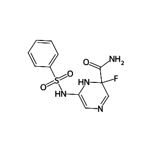 NC(=O)C1(F)C=NC=C(NS(=O)(=O)c2ccccc2)N1